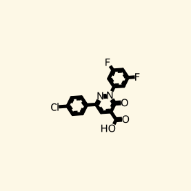 O=C(O)c1cc(-c2ccc(Cl)cc2)nn(-c2cc(F)cc(F)c2)c1=O